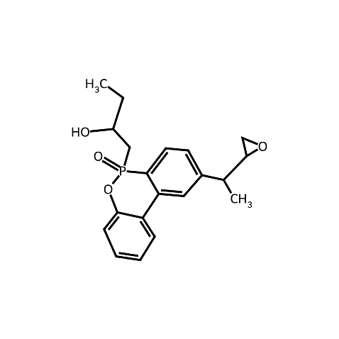 CCC(O)CP1(=O)Oc2ccccc2-c2cc(C(C)C3CO3)ccc21